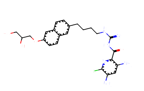 N=C(NCCCCc1ccc2cc(OCC(O)CO)ccc2c1)NC(=O)c1nc(Cl)c(N)cc1N